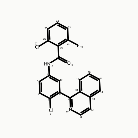 O=C(Nc1ccc(Cl)c(-c2nccc3ccccc23)c1)c1c(F)cccc1Cl